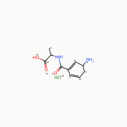 CC(NC(=O)C1=CC(N)CC=C1)C(=O)O.Cl